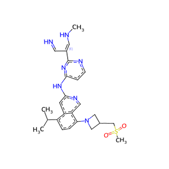 CN/C=C(\C=N)c1nccc(Nc2cc3c(C(C)C)ccc(N4CC(CS(C)(=O)=O)C4)c3cn2)n1